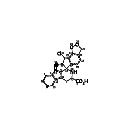 O=C(O)C1Cc2c([nH]c3ccccc23)C(C(=O)CCl)(c2ccc3c(c2)OOC3)N1